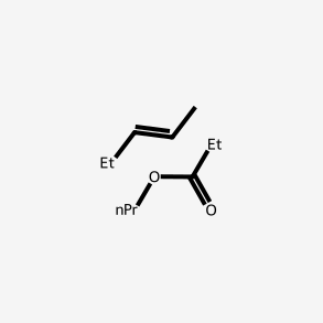 CC=CCC.CCCOC(=O)CC